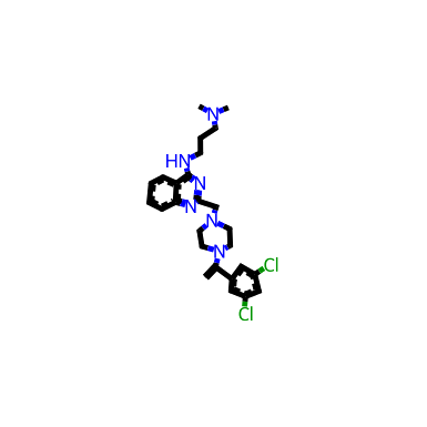 C=C(c1cc(Cl)cc(Cl)c1)N1CCN(Cc2nc(NCCCN(C)C)c3ccccc3n2)CC1